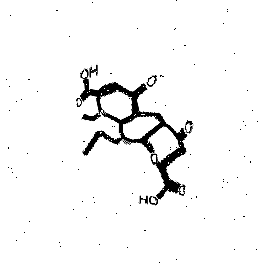 CCC[C@@H]1C2OC(C(=O)O)=CC(=O)C2CC2C(=O)C=C(C(=O)O)N(CC)C21